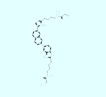 CC(C)CC(=O)NCCCCc1ncc(-c2ccc3ccc(-c4ccc5nc(CCCCNC(=O)CC(C)C)[nH]c5c4)cc3c2)[nH]1